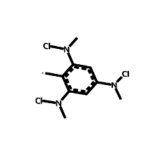 [CH2]c1c(N(C)Cl)cc(N(C)Cl)cc1N(C)Cl